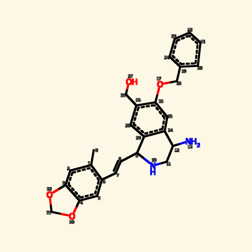 Cc1cc2c(cc1/C=C/C1NCC(N)c3cc(OCc4ccccc4)c(CO)cc31)OCO2